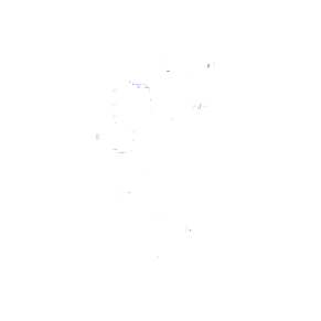 COCc1c(C(=O)OC(C)C)ncc2[nH]c3ccc(-c4cccnc4)cc3c12